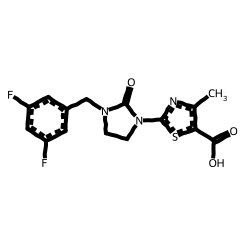 Cc1nc(N2CCN(Cc3cc(F)cc(F)c3)C2=O)sc1C(=O)O